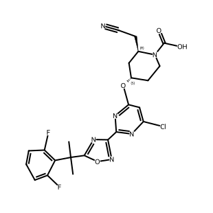 CC(C)(c1nc(-c2nc(Cl)cc(O[C@H]3CCN(C(=O)O)[C@H](CC#N)C3)n2)no1)c1c(F)cccc1F